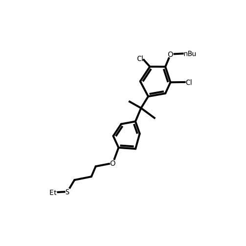 CCCCOc1c(Cl)cc(C(C)(C)c2ccc(OCCCSCC)cc2)cc1Cl